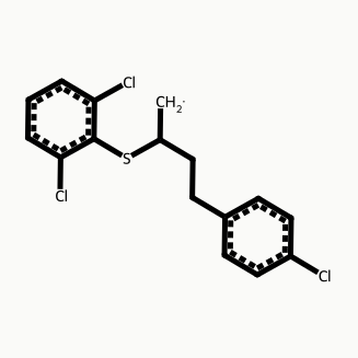 [CH2]C(CCc1ccc(Cl)cc1)Sc1c(Cl)cccc1Cl